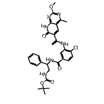 C=C(Nc1cc(C(=O)NC(CNC(=O)OC(C)(C)C)c2ccccc2)ccc1Cl)c1cc2c(C)nc(OC)nc2[nH]c1=O